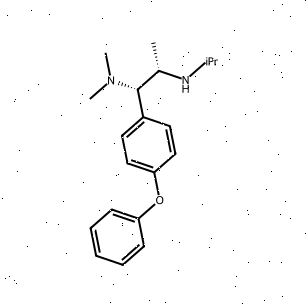 CC(C)N[C@@H](C)[C@H](c1ccc(Oc2ccccc2)cc1)N(C)C